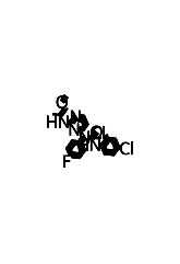 COC[C@H](C)Nc1nccc(N(C(=O)Nc2ccc(Cl)cc2Cl)c2ccc(F)cc2)n1